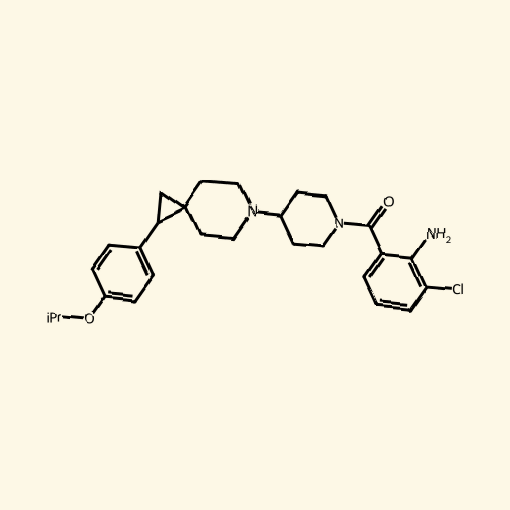 CC(C)Oc1ccc(C2CC23CCN(C2CCN(C(=O)c4cccc(Cl)c4N)CC2)CC3)cc1